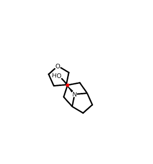 OC1CC2CCC(C1)N2[C@H]1CCOC1